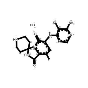 Cc1cc(Nc2ncnc(N)c2Cl)c(=O)n2c1C(=O)NC21CCNCC1.Cl